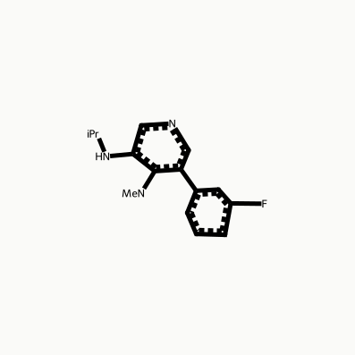 CNc1c(NC(C)C)cncc1-c1cccc(F)c1